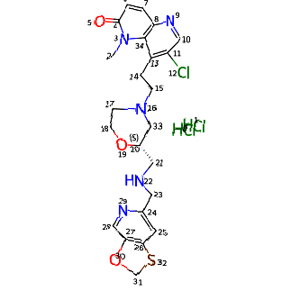 Cl.Cl.Cn1c(=O)ccc2ncc(Cl)c(CCN3CCO[C@@H](CNCc4cc5c(cn4)OCS5)C3)c21